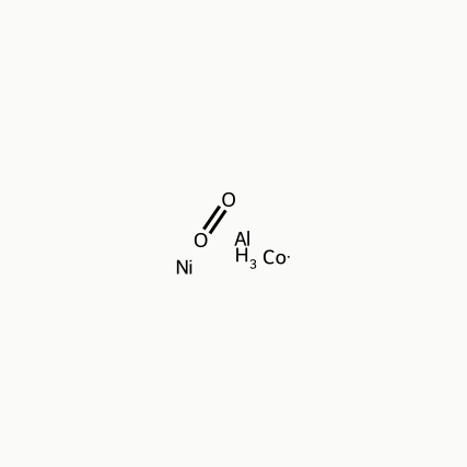 O=O.[AlH3].[Co].[Ni]